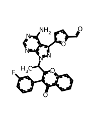 CC(c1oc2ccccc2c(=O)c1-c1cccc(F)c1)n1nc(-c2ccc(C=O)o2)c2c(N)ncnc21